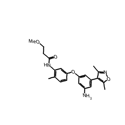 COCCC(=O)Nc1cc(Oc2cc(N)cc(-c3c(C)noc3C)c2)ccc1C